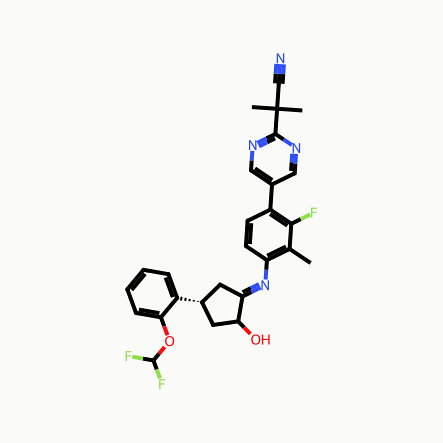 Cc1c(/N=C2\C[C@@H](c3ccccc3OC(F)F)CC2O)ccc(-c2cnc(C(C)(C)C#N)nc2)c1F